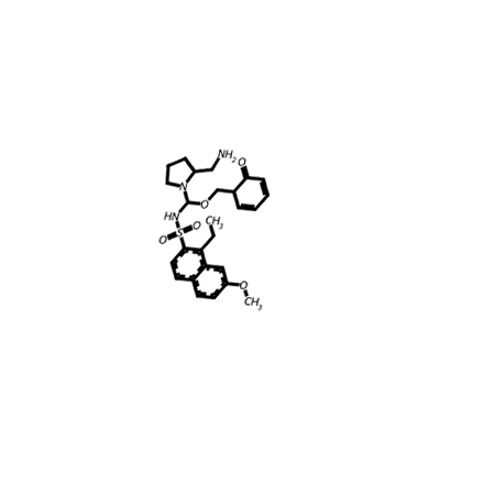 CCc1c(S(=O)(=O)NC(OCC2C=CC=CC2=O)N2CCCC2CN)ccc2ccc(OC)cc12